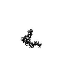 Cc1nc2c(-c3ccc(C(F)(F)F)cc3F)cn(C3CCOC(c4cnn(C5CC5)c4)C3)c(=O)c2nc1C